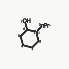 CC[CH]N1CCCCC1O